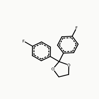 Fc1ccc(C2(c3ccc(F)cc3)OCCO2)cc1